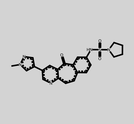 Cn1cc(-c2cnc3ccc4ccc(NS(=O)(=O)N5CCCC5)cc4c(=O)c3c2)cn1